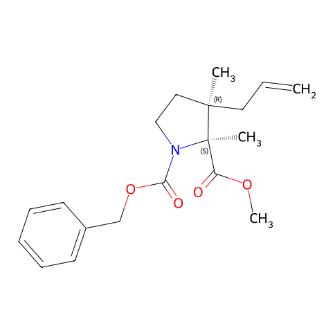 C=CC[C@]1(C)CCN(C(=O)OCc2ccccc2)[C@]1(C)C(=O)OC